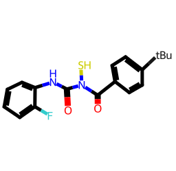 CC(C)(C)c1ccc(C(=O)N(S)C(=O)Nc2ccccc2F)cc1